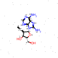 C=C=C1C(O)[C@@H](CO)O[C@H]1n1c(N)nc2c(N)ncnc21